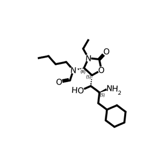 CCCCN(C=O)[C@H]1[C@@H](C(O)[C@@H](N)CC2CCCCC2)OC(=O)N1CC